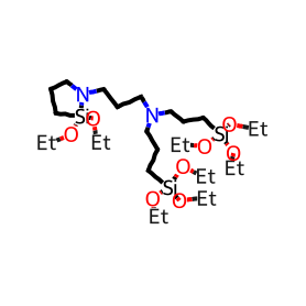 CCO[Si](CCCN(CCCN1CCC[Si]1(OCC)OCC)CCC[Si](OCC)(OCC)OCC)(OCC)OCC